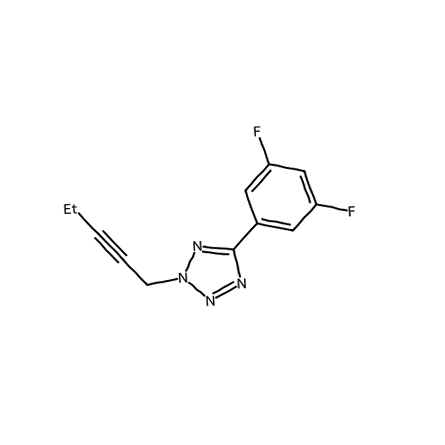 CCC#CCn1nnc(-c2cc(F)cc(F)c2)n1